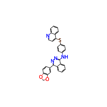 c1ccc2c(Sc3ccc(Nc4nnc(-c5ccc6c(c5)OCO6)c5ccccc45)cc3)ccnc2c1